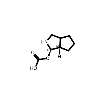 O=C(O)O[C@H]1NCC2CCC[C@@H]21